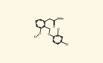 CCOc1cccc(CC(=O)NC)c1COc1ccc(CC)cc1Cl